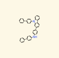 c1ccc(-c2ccc(Nc3ccc(-c4ccc5c6ccccc6n(-c6ccc(-c7ccccc7)cc6)c5c4)cc3)cc2)cc1